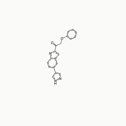 O=C(COc1ccccc1)c1nc2ccc(-c3cn[nH]c3)cc2s1